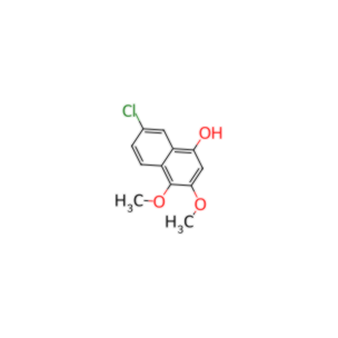 COc1cc(O)c2cc(Cl)ccc2c1OC